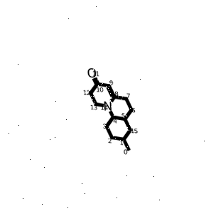 CC1CCC2C(CCC3=CC(=O)CCN32)C1